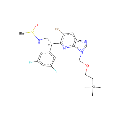 CC(C)(C)[S+]([O-])NC[C@@H](c1cc(F)cc(F)c1)c1nc2c(cc1Br)ncn2COCC[Si](C)(C)C